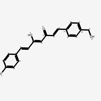 COc1ccc(/C=C/C(O)=C/C(=O)/C=C/c2ccc(CO)cc2)cc1